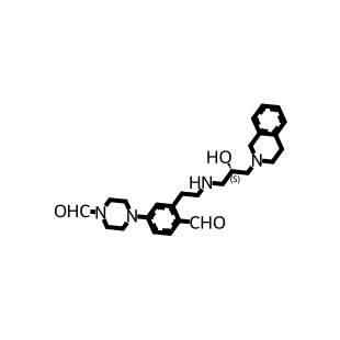 O=Cc1ccc(N2CCN(C=O)CC2)cc1CCNC[C@H](O)CN1CCc2ccccc2C1